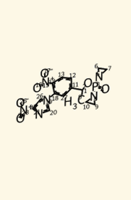 CC(OP(=O)(N1CC1)N1CC1)c1ccc([N+](=O)[O-])c(-n2cnc([N+](=O)[O-])c2)c1